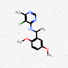 COc1ccc(OC)c(C(C)Nc2ncnc(C)c2Cl)c1